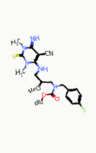 COC(CNc1c(C#N)c(=N)n(C)c(=S)n1C)CN(Cc1ccc(F)cc1)C(=O)OC(C)(C)C